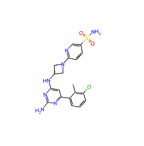 Cc1c(Cl)cccc1-c1cc(NC2CN(c3ccc(S(N)(=O)=O)cn3)C2)nc(N)n1